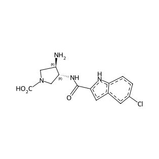 N[C@@H]1CN(C(=O)O)C[C@H]1NC(=O)c1cc2cc(Cl)ccc2[nH]1